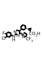 O=C(O)[C@@H]1C[C@H]1c1cccc(-c2cnc(Nc3ccc(F)c(Cl)c3)nc2-n2ccc(C(F)(F)F)n2)c1